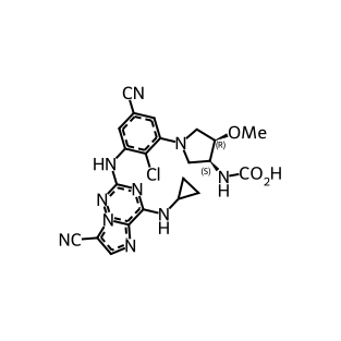 CO[C@@H]1CN(c2cc(C#N)cc(Nc3nc(NC4CC4)c4ncc(C#N)n4n3)c2Cl)C[C@@H]1NC(=O)O